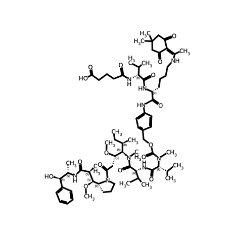 CC[C@@H](C)[C@H]([C@H](CC(=O)N1CCC[C@@H]1[C@@H](OC)[C@H](C)C(=O)N[C@@H](C)[C@H](O)c1ccccc1)OC)N(C)C(=O)[C@H](NC(=O)[C@@H](C(C)C)N(C)C(=O)OCc1ccc(NC(=O)[C@@H](CCCCNC(C)=C2C(=O)CC(C)(C)CC2=O)NC(=O)[C@H](NC(=O)CCCC(=O)O)C(C)C)cc1)C(C)C